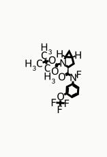 CC(C)(C)OC(=O)N1[C@@H]2C[C@@H]2C[C@H]1C(=O)N(F)c1cccc(OC(F)(F)F)c1